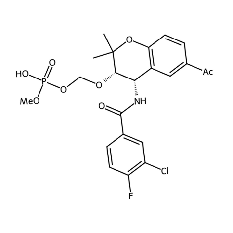 COP(=O)(O)OCO[C@H]1[C@@H](NC(=O)c2ccc(F)c(Cl)c2)c2cc(C(C)=O)ccc2OC1(C)C